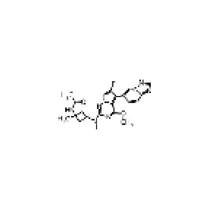 COc1nc(NC2CC(C)(NC(C)=O)C2)nn2cc(F)c(-c3ccc4ncnn4c3)c12